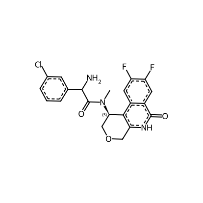 CN(C(=O)C(N)c1cccc(Cl)c1)[C@@H]1COCc2[nH]c(=O)c3cc(F)c(F)cc3c21